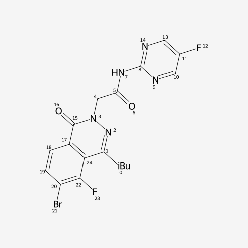 CCC(C)c1nn(CC(=O)Nc2ncc(F)cn2)c(=O)c2ccc(Br)c(F)c12